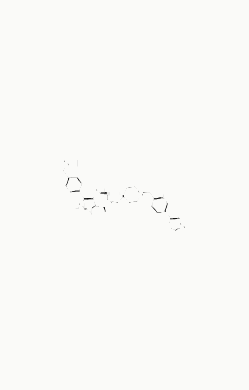 Cn1nc2c(=O)n(CC3(O)CCN(Cc4ccc(-c5cncs5)cc4Cl)CC3)cnc2c1-c1ccc(CN)cc1